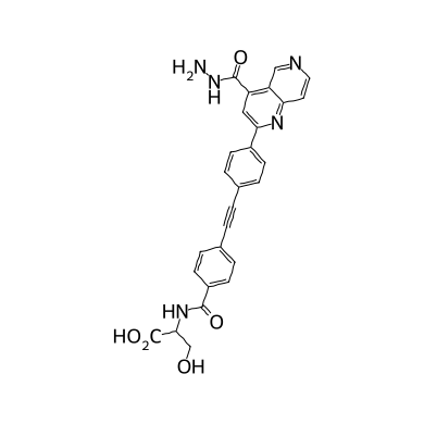 NNC(=O)c1cc(-c2ccc(C#Cc3ccc(C(=O)NC(CO)C(=O)O)cc3)cc2)nc2ccncc12